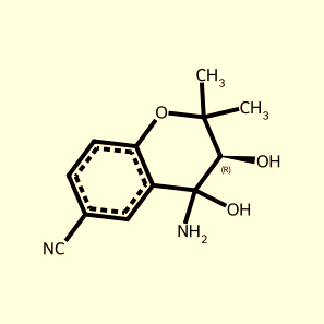 CC1(C)Oc2ccc(C#N)cc2C(N)(O)[C@@H]1O